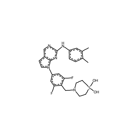 Cc1ccc(Nc2ncc3ccn(-c4cc(F)c(CN5CCS(O)(O)CC5)c(F)c4)c3n2)cc1C